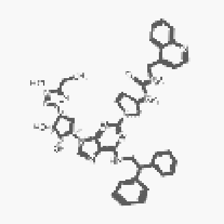 CCc1nnn([C@H]2C[C@@H](n3cnc4c(NCC(c5ccccc5)c5ccccc5)nc(N5CCC(NC(=O)NCc6ccnc7ccccc67)C5)nc43)[C@H](O)[C@@H]2O)n1.Cl